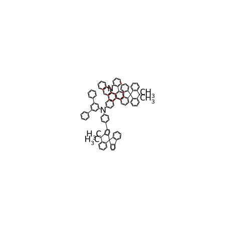 CC1(C)c2ccccc2C2(c3ccccc3-c3ccccc32)c2ccc(-c3ccc(N(c4ccc(-c5cccc(-c6ccccc6N(c6ccccc6)c6cccc(-c7cccc8c7-c7ccccc7C87c8ccccc8C(C)(C)c8ccccc87)c6)c5-c5ccccc5)cc4)c4cc(-c5ccccc5)cc(-c5ccccc5)c4)cc3)cc21